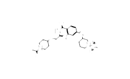 CC(=O)N1CCC(SCc2nc3cc(NC4CCCN(S(C)(=O)=O)C4)ccc3c(=O)[nH]2)CC1